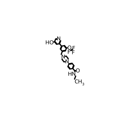 CCCNC(=O)c1ccc(N2CCN(Cc3cc(OC(F)(F)F)cc(-c4cncc(O)c4)c3)CC2)cc1